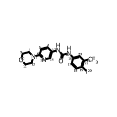 O=C(Nc1ccc(N2CCOCC2)nc1)Nc1ccc(I)c(C(F)(F)F)c1